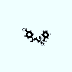 CC[N+](CC)(CCN(C)c1ccc(Cl)cc1)Cc1ccccc1